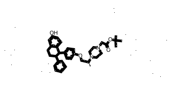 C[C@H](COc1ccc(C2c3ccc(O)cc3CCC2c2ccccc2)cc1)N1CCN(CC(=O)OC(C)(C)C)CC1